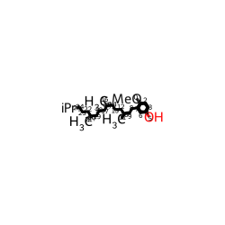 COc1ccc(O)cc1CC=C(C)CCC[C@H](C)CCC[C@H](C)CCCC(C)C